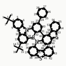 CC(C)(C)c1ccc2c(c1)c1cc(C(C)(C)C)cc3c1n2-c1cc(-c2ccccc2)cc2c1B3N(c1cccc3sc4ccccc4c13)c1ccc3sc4ccccc4c3c1-2